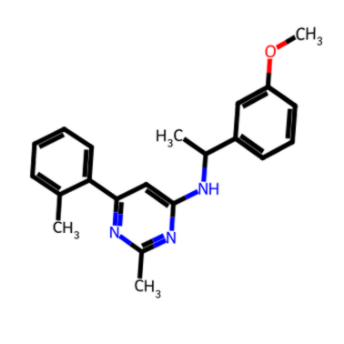 COc1cccc(C(C)Nc2cc(-c3ccccc3C)nc(C)n2)c1